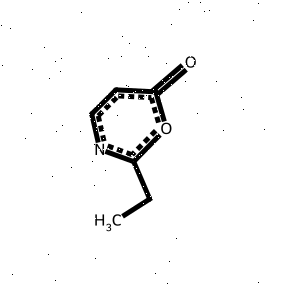 CCc1nccc(=O)o1